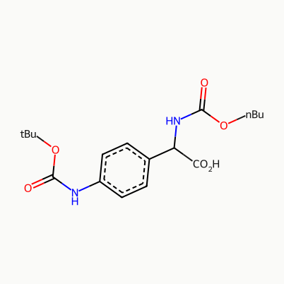 CCCCOC(=O)NC(C(=O)O)c1ccc(NC(=O)OC(C)(C)C)cc1